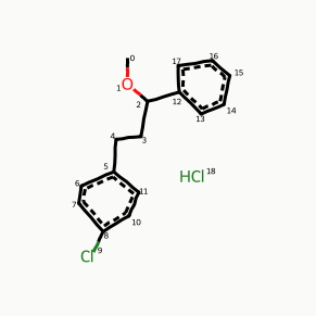 COC(CCc1ccc(Cl)cc1)c1ccccc1.Cl